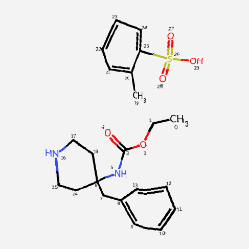 CCOC(=O)NC1(Cc2ccccc2)CCNCC1.Cc1ccccc1S(=O)(=O)O